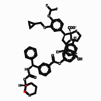 O=C(N[C@@H](c1ccccc1)c1cccc(C(=O)Oc2cccc(CN3CCS[C@]3(C(=O)[O-])[C@@H](Cc3c(Cl)c[n+](O)cc3Cl)c3ccc(OC(F)F)c(OCC4CC4)c3)c2)c1)O[C@H]1CN2CCC1CC2